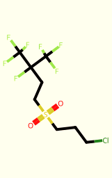 O=S(=O)(CCCCl)CCC(F)(C(F)(F)F)C(F)(F)F